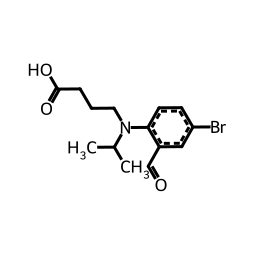 CC(C)N(CCCC(=O)O)c1ccc(Br)cc1C=O